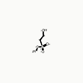 CC(C)OS(=O)(=O)CCO